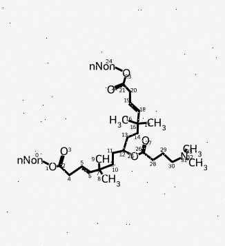 CCCCCCCCCOC(=O)C/C=C/C(C)(C)CCC(CCC(C)(C)/C=C/CC(=O)OCCCCCCCCC)OC(=O)CCCN(C)C